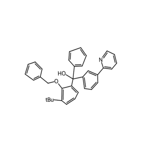 CC(C)(C)c1cccc(C(O)(c2ccccc2)c2cccc(-c3ccccn3)c2)c1OCc1ccccc1